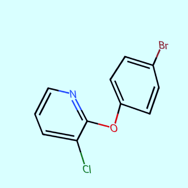 Clc1cccnc1Oc1ccc(Br)cc1